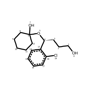 OCCC[C@@H](OC1(O)CCCCC1)c1ccccc1Cl